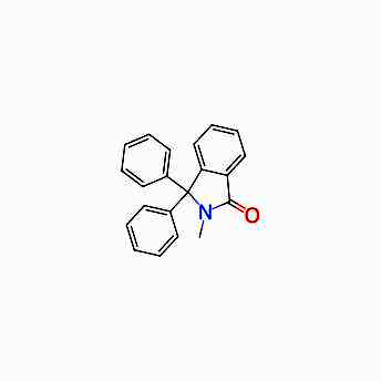 CN1C(=O)c2ccccc2C1(c1ccccc1)c1ccccc1